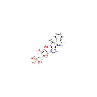 C[C@H](Nc1nc(Cl)nc2c1ncn2[C@@H]1O[C@H](CCP(=O)(O)O)C(O)C1O)c1ccccc1